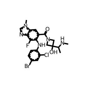 CNC(C)C1(O)CN(C(=O)c2cc3c(ncn3C)c(F)c2Nc2ccc(Br)cc2Cl)C1